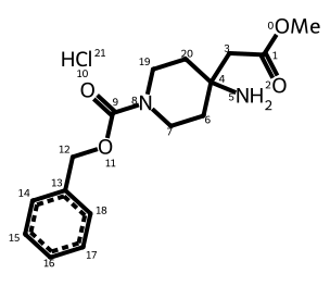 COC(=O)CC1(N)CCN(C(=O)OCc2ccccc2)CC1.Cl